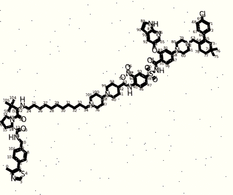 Cc1ncsc1-c1ccc(CNC(=O)[C@@H]2C[C@@H](O)CN2C(=O)[C@@H](NCCCCCCCCCCCN2CCC(N3CCC(CNc4ccc(S(=O)(=O)NC(=O)c5ccc(N6CCN(CC7=C(c8ccc(Cl)cc8)CC(C)(C)CC7)CC6)cc5Oc5cnc6[nH]ccc6c5)cc4[N+](=O)[O-])CC3)CC2)C(C)(C)C)cc1